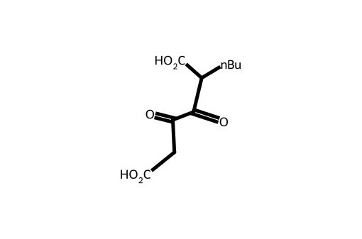 CCCCC(C(=O)O)C(=O)C(=O)CC(=O)O